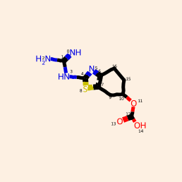 N=C(N)Nc1nc2c(s1)CC(OC(=O)O)CC2